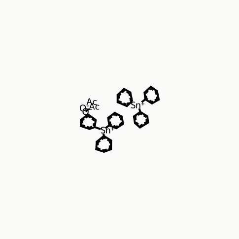 CC(=O)[O-].CC(=O)[O-].c1cc[c]([Sn+]([c]2ccccc2)[c]2ccccc2)cc1.c1cc[c]([Sn+]([c]2ccccc2)[c]2ccccc2)cc1